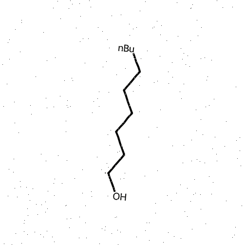 [CH2]CCCCCCCC[CH]O